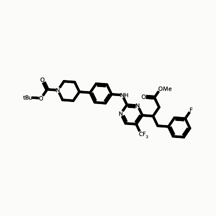 COC(=O)CC(Cc1cccc(F)c1)c1nc(Nc2ccc(C3CCN(C(=O)OC(C)(C)C)CC3)cc2)ncc1C(F)(F)F